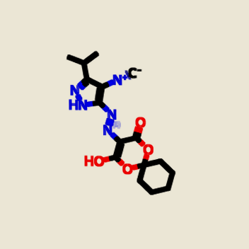 [C-]#[N+]c1c(C(C)C)n[nH]c1/N=N/C1=C(O)OC2(CCCCC2)OC1=O